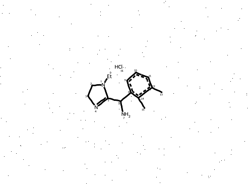 CCN1CCN=C1C(N)c1cccc(C)c1C.Cl